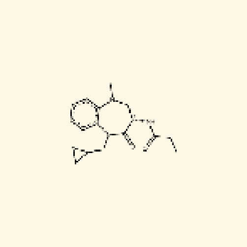 CCC(=O)N[C@H]1CN(C)c2ccccc2N(CC2CC2)C1=O